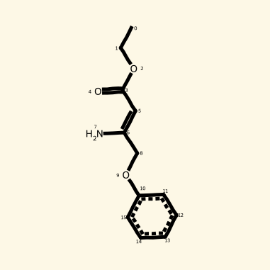 CCOC(=O)C=C(N)COc1ccccc1